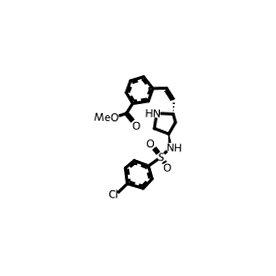 COC(=O)c1cccc(/C=C\[C@@H]2C[C@@H](NS(=O)(=O)c3ccc(Cl)cc3)CN2)c1